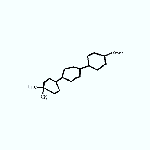 CCCCCCC1CCC(C2CCC(C3CCC(C)(C#N)CC3)CC2)CC1